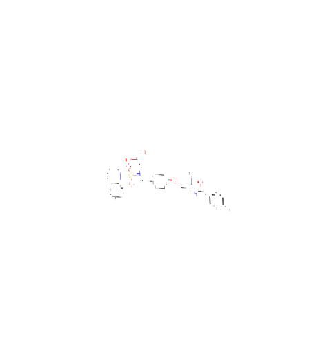 Cc1ccc(-c2nc(COc3ccc(CN(CC(=O)O)S(=O)(=O)N4CCCc5ccccc54)cc3)c(C)o2)cc1